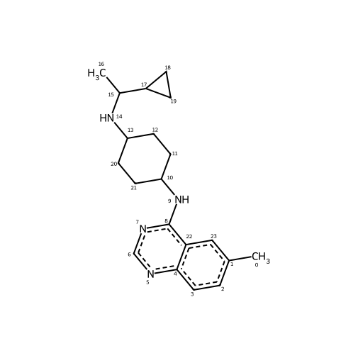 Cc1ccc2ncnc(NC3CCC(NC(C)C4CC4)CC3)c2c1